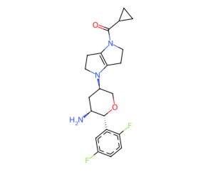 N[C@H]1C[C@@H](N2CCC3=C2CCN3C(=O)C2CC2)CO[C@@H]1c1cc(F)ccc1F